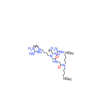 CCCCCCCCCCCCCCN(CCCCCCCCCCCCCC)C(=O)CNC(=O)CN(CCCCN(CCC)NC(=N)N)C(CC)NC(=N)N